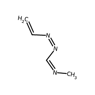 C=C/N=N\C=N/C